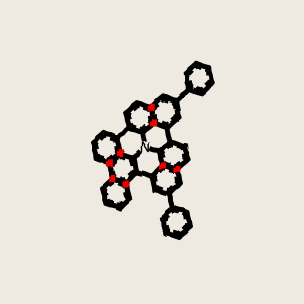 c1ccc(-c2cccc(-c3ccccc3N(c3ccccc3-c3cccc(-c4ccccc4)c3)c3ccccc3-c3cccc(-c4ccccc4)c3)c2)cc1